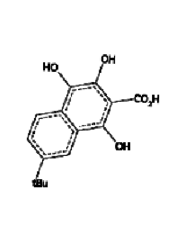 CC(C)(C)c1ccc2c(O)c(O)c(C(=O)O)c(O)c2c1